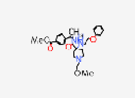 COCCN1CCC(NCCOc2ccccc2)(C(=O)N[C@@H](C)c2ccc(C(=O)OC)cc2)CC1